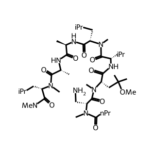 CCCC(=O)N(C)[C@H](CN)C(=O)N(C)[C@@H](CC(C)(C)OC)C(=O)N[C@H](C(=O)N(C)[C@@H](CC(C)C)C(=O)N[C@H](C)C(=O)N[C@H](C)C(=O)N(C)[C@@H](CC(C)C)C(=O)NC)C(C)C